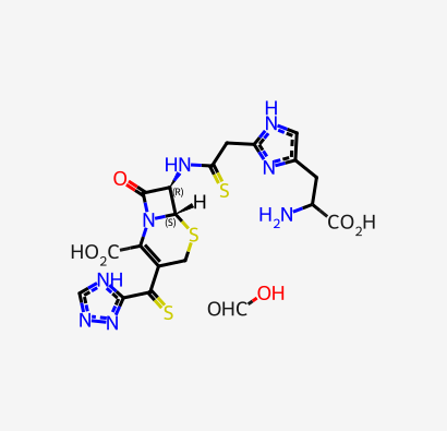 NC(Cc1c[nH]c(CC(=S)N[C@@H]2C(=O)N3C(C(=O)O)=C(C(=S)c4nnc[nH]4)CS[C@@H]23)n1)C(=O)O.O=CO